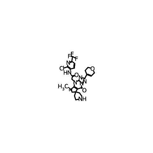 C[C@@H]1CC2(CCNCC2)c2c1n(CC(=O)Nc1ccc(C(F)(F)F)nc1Cl)c1nc(C3=CCOCC3)nn1c2=O